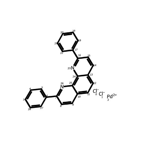 [Cl-].[Cl-].[Pd+2].c1ccc(-c2ccc3ccc4ccc(-c5ccccc5)nc4c3n2)cc1